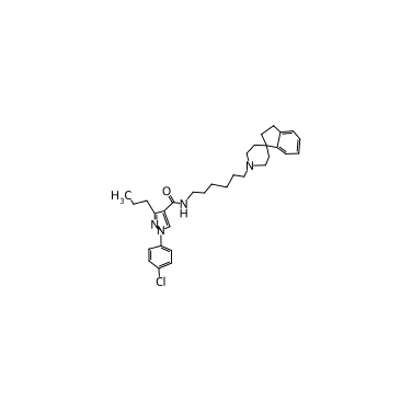 CCCc1nn(-c2ccc(Cl)cc2)cc1C(=O)NCCCCCCN1CCC2(CCc3ccccc32)CC1